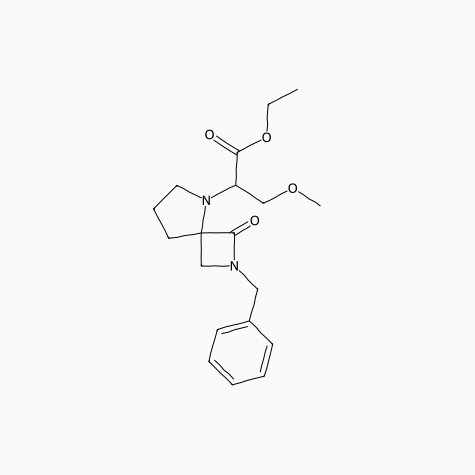 CCOC(=O)C(COC)N1CCCC12CN(Cc1ccccc1)C2=O